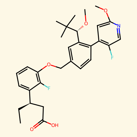 CC[C@H](CC(=O)O)c1cccc(OCc2ccc(-c3cc(OC)ncc3F)c([C@@H](OC)C(C)(C)C)c2)c1F